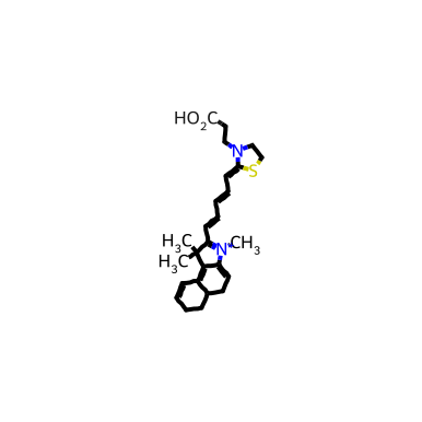 C[N+]1=C(/C=C/C=C/C=C2\SCCN2CCC(=O)O)C(C)(C)C2=C3C=CCCC3CC=C21